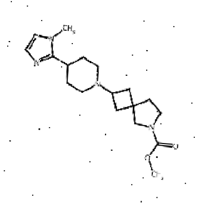 COC(=O)N1CCC2(CC(N3CCC(c4nccn4C)CC3)C2)C1